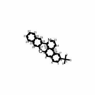 CC(C)(C)c1ccc2cc3c4c(nccc4c2c1)-c1cc2ccccc2cc1O3